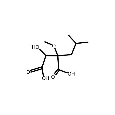 COC(CC(C)C)(C(=O)O)C(O)C(=O)O